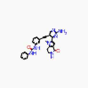 Cn1c(-c2nc(N)ncc2C#Cc2cccc(NC(=O)Nc3ccccc3)c2)cc2c1CCNC2=O